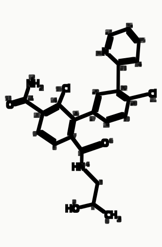 CC(O)CNC(=O)c1ccc(C(N)=O)c(Cl)c1-c1ccc(Cl)c(-c2ccccn2)c1